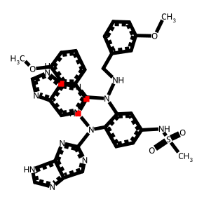 COc1cccc(CNN(c2ncc3nc[nH]c3n2)c2ccc(NS(C)(=O)=O)cc2N(NCc2cccc(OC)c2)c2ncc3nc[nH]c3n2)c1